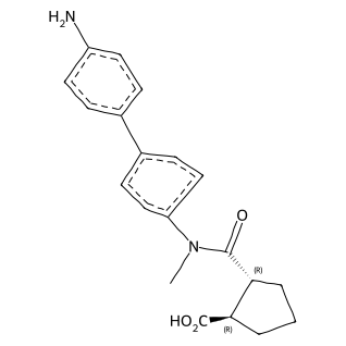 CN(C(=O)[C@@H]1CCC[C@H]1C(=O)O)c1ccc(-c2ccc(N)cc2)cc1